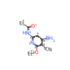 CCOc1nc(NC(=O)CC)cc(N)c1C#N